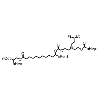 CCCCCCCCC(CCCCCC)COC(=O)CCCCCCCCCC(CCCCC)OC(=O)OCCN(CCOC(=O)CCCCCCC)CCN(CC)CC